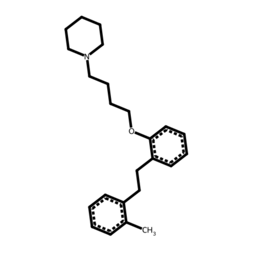 Cc1ccccc1CCc1ccccc1OCCCCN1CCCCC1